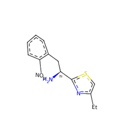 CCc1csc([C@@H](N)Cc2ccccc2[N+](=O)[O-])n1